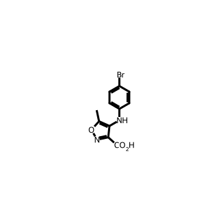 Cc1onc(C(=O)O)c1Nc1ccc(Br)cc1